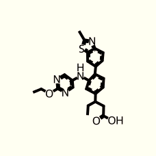 CCOc1ncc(Nc2cc(C(CC)CC(=O)O)ccc2-c2ccc3nc(C)sc3c2)cn1